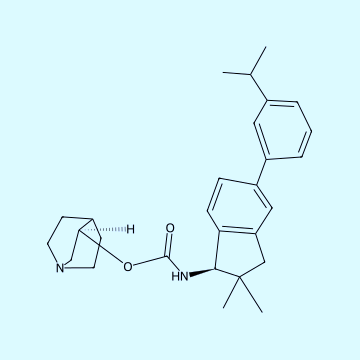 CC(C)c1cccc(-c2ccc3c(c2)CC(C)(C)[C@H]3NC(=O)O[C@H]2CN3CCC2CC3)c1